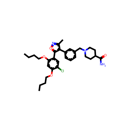 CCCCOc1cc(OCCCC)c(-c2onc(C)c2-c2cccc(CN3CCC(C(N)=O)CC3)c2)cc1Cl